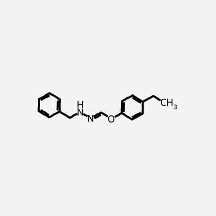 CCc1ccc(OC=NNCc2ccccc2)cc1